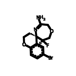 NC1=N[C@@]2(CCOc3ccc(Br)cc32)C(F)(F)COC1